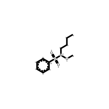 CCCCN(OC)S(=O)(=O)c1ccccc1